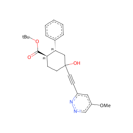 COc1cnnc(C#CC2(O)CC[C@@H](C(=O)OC(C)(C)C)[C@H](c3ccccc3)C2)c1